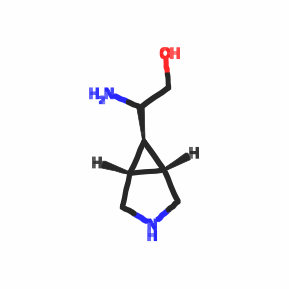 NC(CO)[C@H]1[C@@H]2CNC[C@@H]21